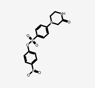 O=C1CN(c2ccc(S(=O)(=O)Oc3ccc([N+](=O)[O-])cc3)cc2)CCN1